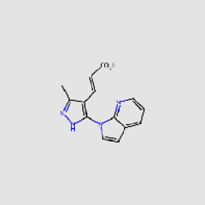 Cc1n[nH]c(-n2ccc3cccnc32)c1C=CC(=O)O